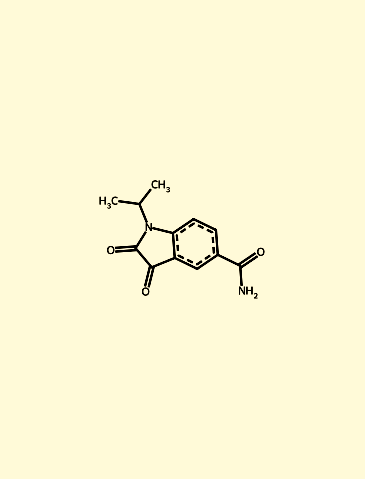 CC(C)N1C(=O)C(=O)c2cc(C(N)=O)ccc21